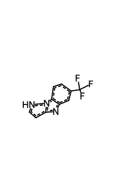 FC(F)(F)c1ccc2c(c1)nc1cc[nH]n12